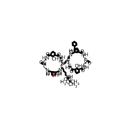 Cc1c2cccc1C(=O)NCCN(CCN1CCNC(=O)c3cccc(c3O)C(=O)NCCN(C=O)CCNC(=O)c3cccc(c3OCc3ccccc3)C(=O)NCC1)CC(CCCCNC(=O)OC(C)(C)C)NC(=O)c1cccc(c1O)C(=O)NCCN(C=O)CCNC2=O